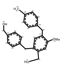 COc1cc(CO)c(Cc2ccc(CO)cc2)cc1Cc1ccc(C)cc1